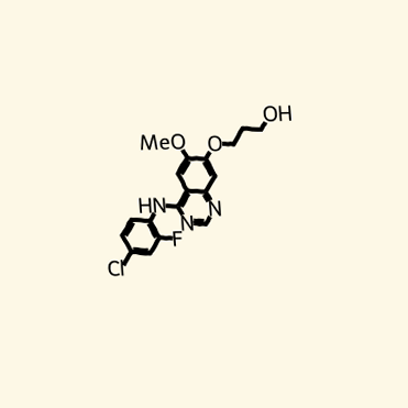 COc1cc2c(Nc3ccc(Cl)cc3F)ncnc2cc1OCCCO